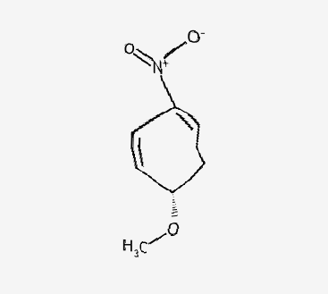 CO[C@@H]1C=CC([N+](=O)[O-])=CC1